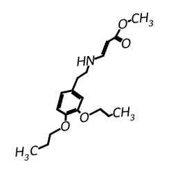 CCCOc1ccc(CCNC=CC(=O)OC)cc1OCCC